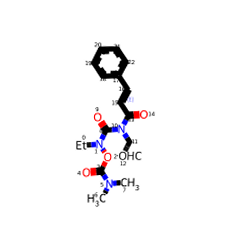 CCN(OC(=O)N(C)C)C(=O)N(C[C]=O)C(=O)/C=C/c1ccccc1